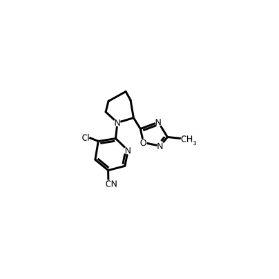 Cc1noc(C2CCCCN2c2ncc(C#N)cc2Cl)n1